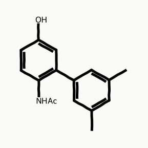 CC(=O)Nc1ccc(O)cc1-c1cc(C)cc(C)c1